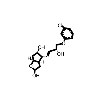 OC1C[C@@H]2[C@@H](/C=C/[C@@H](O)COc3cccc(Cl)c3)[C@H](O)C[C@@H]2O1